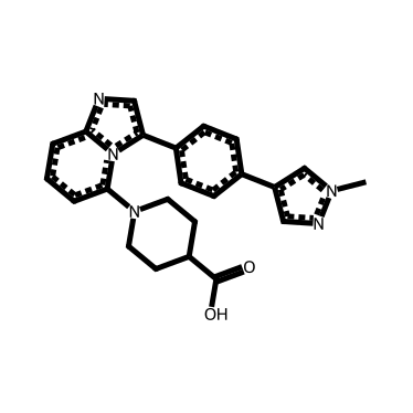 Cn1cc(-c2ccc(-c3cnc4cccc(N5CCC(C(=O)O)CC5)n34)cc2)cn1